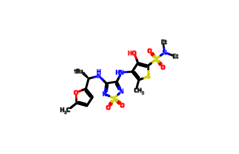 CCN(CC)S(=O)(=O)c1sc(C)c(NC2=NS(=O)(=O)N=C2N[C@@H](c2ccc(C)o2)C(C)(C)C)c1O